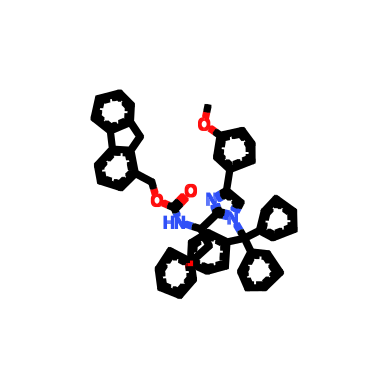 COc1cccc(-c2cn(C(c3ccccc3)(c3ccccc3)c3ccccc3)c(C(Cc3ccccc3)NC(=O)OCc3cccc4c3Cc3ccccc3-4)n2)c1